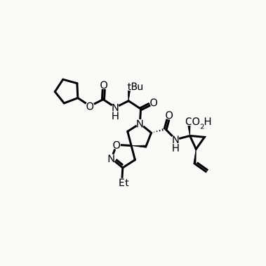 C=C[C@@H]1C[C@]1(NC(=O)[C@@H]1C[C@]2(CC(CC)=NO2)CN1C(=O)[C@@H](NC(=O)OC1CCCC1)C(C)(C)C)C(=O)O